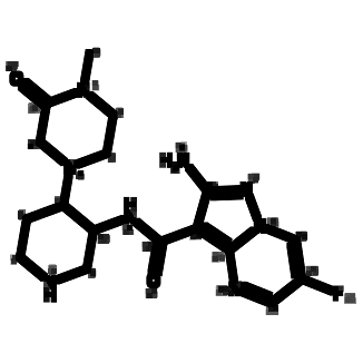 CN1CCN(C2CCNCC2NC(=O)c2c(N)nn3cc(F)cnc23)CC1=O